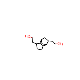 OCCC1CC2CC1C1CCC(CCO)C21